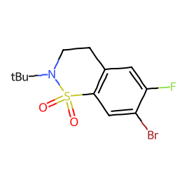 CC(C)(C)N1CCc2cc(F)c(Br)cc2S1(=O)=O